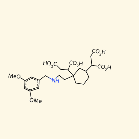 COc1cc(CNCCC2(C(CC(=O)O)C(=O)O)CCCC(C(CC(=O)O)C(=O)O)C2)cc(OC)c1